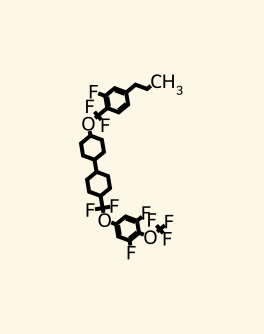 CCCc1ccc(C(F)(F)OC2CCC(C3CCC(C(F)(F)Oc4cc(F)c(OC(F)(F)F)c(F)c4)CC3)CC2)c(F)c1